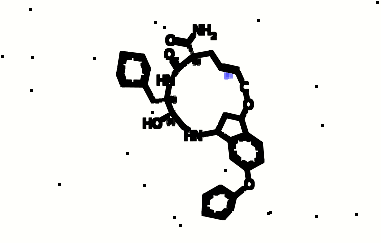 NC(=O)[C@@H]1C/C=C/COC2CC(NC[C@@H](O)[C@H](Cc3ccccc3)NC1=O)c1cc(Oc3ccccc3)ccc12